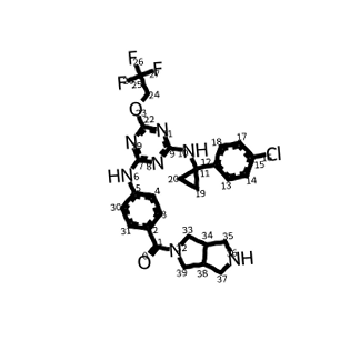 O=C(c1ccc(Nc2nc(NC3(c4ccc(Cl)cc4)CC3)nc(OCC(F)(F)F)n2)cc1)N1CC2CNCC2C1